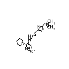 CN(C)Cc1nc(CSCCNc2n[s+]([O-])nc2N2CCCCC2)cs1